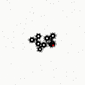 c1ccc(N(c2ccccc2)c2ccc(C3(c4ccc(N(c5ccccc5)c5cccc6c7ccccc7n(-c7ccccc7)c56)cc4)CCCC3)cc2)cc1